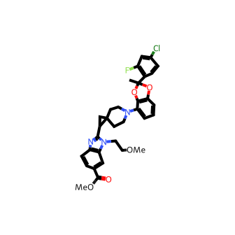 COCCn1c(C2CC23CCN(c2cccc4c2OC(C)(c2ccc(Cl)cc2F)O4)CC3)nc2ccc(C(=O)OC)cc21